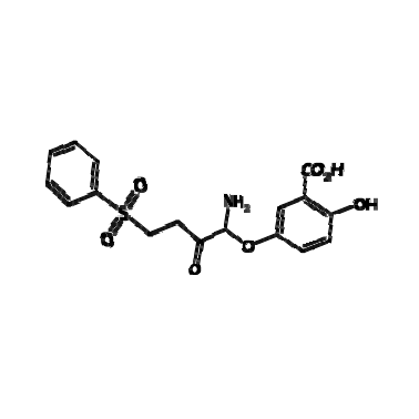 NC(Oc1ccc(O)c(C(=O)O)c1)C(=O)CCS(=O)(=O)c1ccccc1